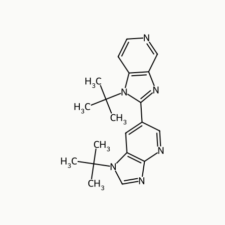 CC(C)(C)n1cnc2ncc(-c3nc4cnccc4n3C(C)(C)C)cc21